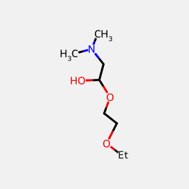 CCOCCOC(O)CN(C)C